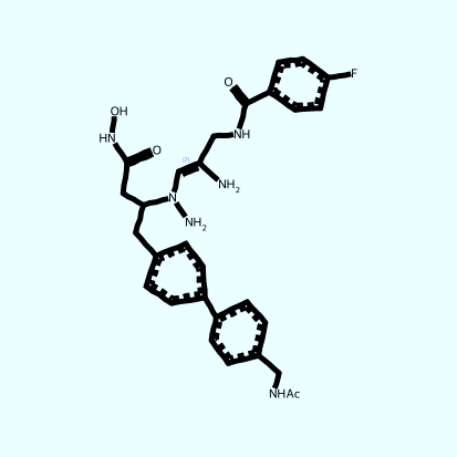 CC(=O)NCc1ccc(-c2ccc(CC(CC(=O)NO)N(N)/C=C(\N)CNC(=O)c3ccc(F)cc3)cc2)cc1